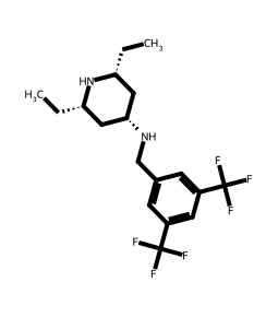 CC[C@@H]1C[C@H](NCc2cc(C(F)(F)F)cc(C(F)(F)F)c2)C[C@H](CC)N1